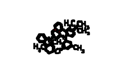 Cc1cc(Cl)cc(N(c2cccc(N3c4ccccc4C4(C)CCCCC34C)c2)c2ccc(C(C)(C)C)cc2-c2ccccc2)c1